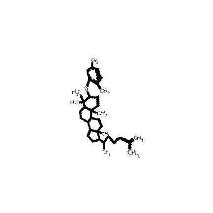 Cc1ccc(C)c(OC2CCC3(C)C4CCC5(C)C(C(C)CCCC(C)C)CCC5C4CCC3C2(C)C)c1